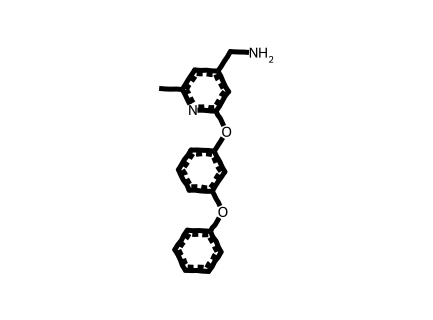 Cc1cc(CN)cc(Oc2cccc(Oc3ccccc3)c2)n1